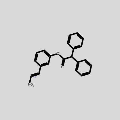 O=C(Oc1cccc(/C=C/[N+](=O)[O-])c1)C(c1ccccc1)c1ccccc1